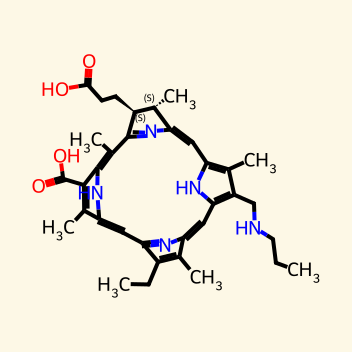 CCCNCc1c(C)c2cc3nc(c(C)c4[nH]c(cc5nc(cc1[nH]2)C(C)=C5CC)c(C)c4C(=O)O)[C@@H](CCC(=O)O)[C@@H]3C